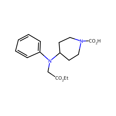 CCOC(=O)CN(c1ccccc1)C1CCN(C(=O)O)CC1